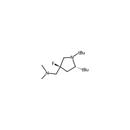 CN(C)C[C@@]1(F)C[C@@H](C(C)(C)C)N(C(C)(C)C)C1